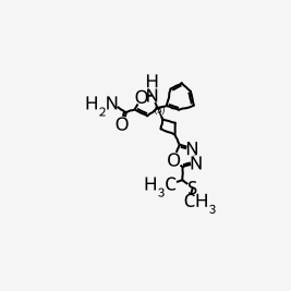 CSC(C)c1nnc(C2CC([C@@]3(c4ccccc4)C=C(C(N)=O)ON3)C2)o1